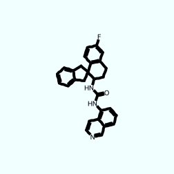 O=C(Nc1cccc2cnccc12)NC1CCc2cc(F)ccc2C12Cc1ccccc1C2